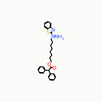 NN(CCCCCCCCOC(=O)C(c1ccccc1)c1ccccc1)c1nc2ccccc2s1